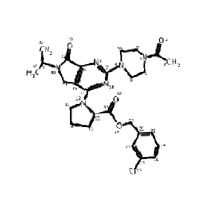 CC(=O)N1CCN(c2nc3c(c(N4CCC[C@@H]4C(=O)OCc4cccc(Cl)c4)n2)CN(C(C)C)C3=O)CC1